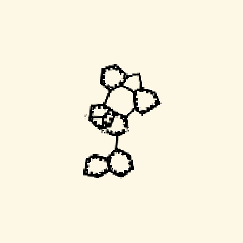 Clc1nc(-c2cccc3c2-c2c(cccc2-c2ccccc2)C3)nc(-c2cccc3ccccc23)n1